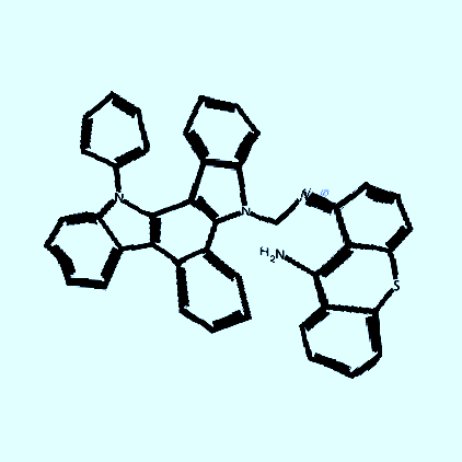 Nc1c2/c(=N\Cn3c4ccccc4c4c3c3ccccc3c3c5ccccc5n(-c5ccccc5)c34)cccc-2sc2ccccc12